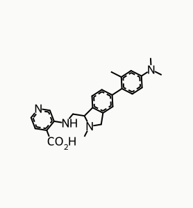 Cc1cc(N(C)C)ccc1-c1ccc2c(c1)CN(C)C2CNc1cnccc1C(=O)O